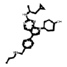 CCCNCc1ccc(-c2cn(C3CCC(O)CC3)c3nc(NC(C)CC4CC4)ncc23)cc1